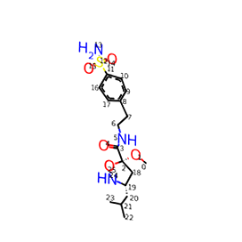 CO[C@]1(C(=O)NCCc2ccc(S(N)(=O)=O)cc2)C[C@H](CC(C)C)NO1